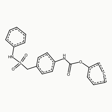 O=C(Nc1ccc(CS(=O)(=O)Nc2ccccc2)cc1)Oc1ccccc1